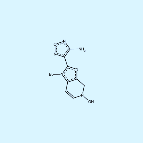 CCn1c(-c2nonc2N)nc2c1C=CN(O)C2